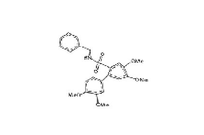 COc1ccc(-c2cc(OC)c(OC)cc2S(=O)(=O)NCc2ccccc2)cc1OC